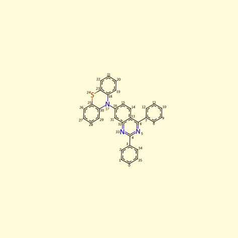 c1ccc(-c2nc(-c3ccccc3)c3ccc(N4c5ccccc5Sc5ccccc54)cc3n2)cc1